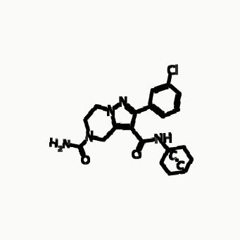 NC(=O)N1CCn2nc(-c3cccc(Cl)c3)c(C(=O)NC34CCC(CC3)CC4)c2C1